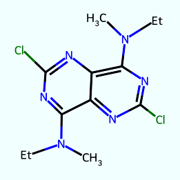 CCN(C)c1nc(Cl)nc2c(N(C)CC)nc(Cl)nc12